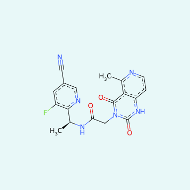 Cc1nccc2[nH]c(=O)n(CC(=O)N[C@@H](C)c3ncc(C#N)cc3F)c(=O)c12